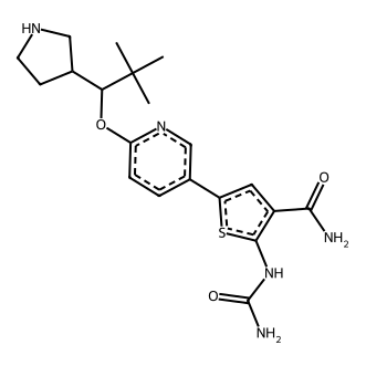 CC(C)(C)C(Oc1ccc(-c2cc(C(N)=O)c(NC(N)=O)s2)cn1)C1CCNC1